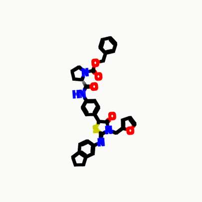 O=C(Nc1ccc(C2S/C(=N\c3ccc4c(c3)CCC4)N(Cc3ccco3)C2=O)cc1)[C@@H]1CCCN1C(=O)OCc1ccccc1